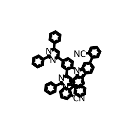 N#Cc1ccccc1-c1ccc2c3ccc(-c4ccccc4C#N)cc3n(-c3ccc(-c4cc(-c5ccccc5)nc(-c5ccccc5)n4)cc3-c3cc(-c4ccccc4)nc(-c4ccccc4)n3)c2c1